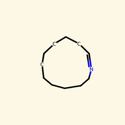 C1=N\CCCCCCCCCC/1